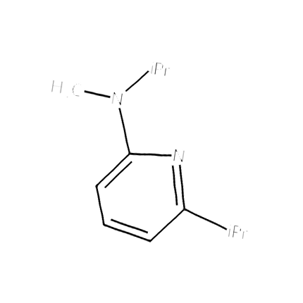 CC(C)c1cccc(N(C)C(C)C)n1